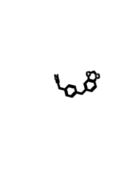 N#CCc1ccc(Cc2ccc3c(c2)OCO3)cc1